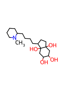 CN1CCCCC1CCCCC1CCC2(O)CC(O)C(O)CC12O